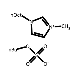 CCCCCCCCn1cc[n+](C)c1.CCCCOS(=O)(=O)[O-]